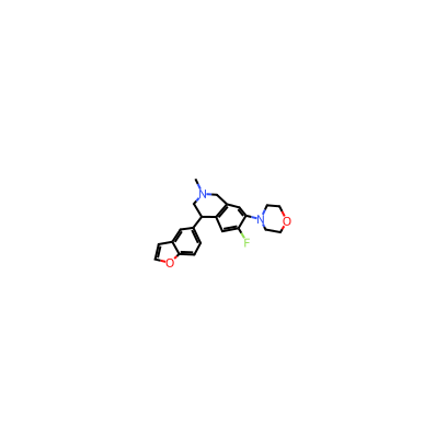 CN1Cc2cc(N3CCOCC3)c(F)cc2C(c2ccc3occc3c2)C1